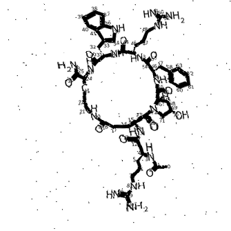 CC(=O)N[C@@H](CCCNC(=N)N)C(=O)N[C@H]1CCC(=O)NCCCC(C(N)=O)NC(=O)[C@H](Cc2c[nH]c3ccccc23)NC(=O)[C@H](CCCNC(=N)N)NC(=O)[C@@H](Cc2ccccc2)NC(=O)[C@@H]2C[C@@H](O)CN2C1=O